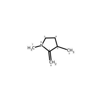 C=C1C(C)CCN1C